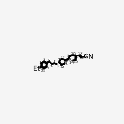 CCc1ccc(CCCC[C@H]2CC[C@H]([C@H]3CC[C@H](C=CC#N)CC3)CC2)cc1